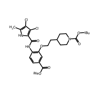 COC(=O)c1ccc(NC(=O)c2[nH]c(C)c(Cl)c2Cl)c(OCCC2CCN(C(=O)OC(C)(C)C)CC2)c1